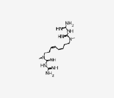 CN(CC/C=C\C=C/CCN(C)C(=N)NC(=N)N)C(=N)NC(=N)N